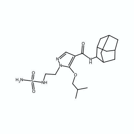 CC(C)COc1c(C(=O)NC2C3CC4CC(C3)CC2C4)cnn1CCNS(N)(=O)=O